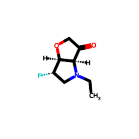 CCN1C[C@H](F)[C@H]2OCC(=O)[C@H]21